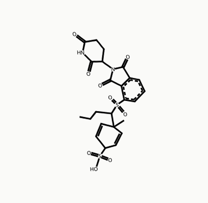 CCCC(C1(C)C=CC(S(=O)(=O)O)C=C1)S(=O)(=O)c1cccc2c1C(=O)N(C1CCC(=O)NC1=O)C2=O